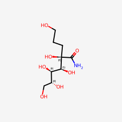 NC(=O)[C@@](O)(CCCO)[C@@H](O)[C@H](O)[C@H](O)CO